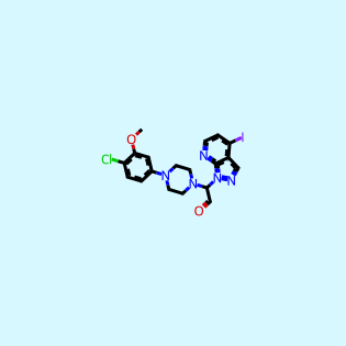 COc1cc(N2CCN(C(C=O)n3ncc4c(I)ccnc43)CC2)ccc1Cl